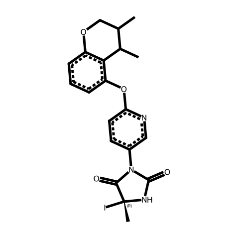 CC1COc2cccc(Oc3ccc(N4C(=O)N[C@](C)(I)C4=O)cn3)c2C1C